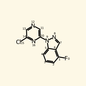 Fc1cccc2c1cnn2-c1cncc(Cl)n1